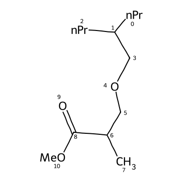 CCCC(CCC)COCC(C)C(=O)OC